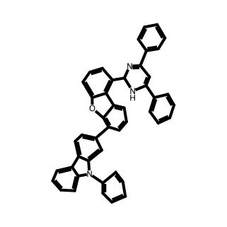 C1=C(c2ccccc2)NC(c2cccc3oc4c(-c5ccc6c7ccccc7n(-c7ccccc7)c6c5)cccc4c23)N=C1c1ccccc1